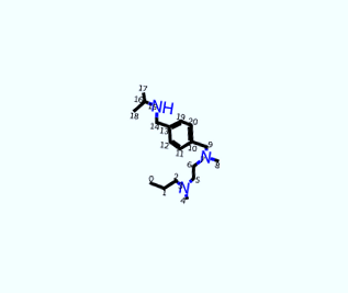 CCCN(C)CCN(C)Cc1ccc(CNC(C)C)cc1